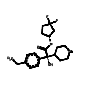 CCc1ccc([C@@](O)(C(=O)O[C@@H]2CCC(F)(F)C2)C2CCNCC2)cc1